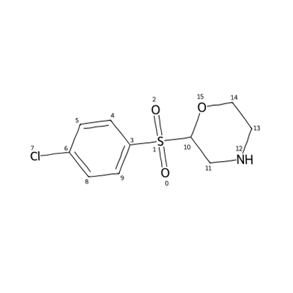 O=S(=O)(c1ccc(Cl)cc1)C1CNCCO1